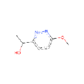 COc1ccc(C(C)O)nn1